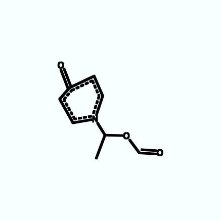 CC(OC=O)n1ccc(=O)cc1